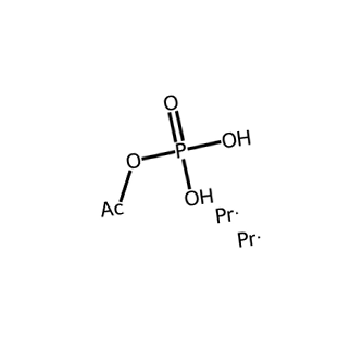 CC(=O)OP(=O)(O)O.[Pr].[Pr]